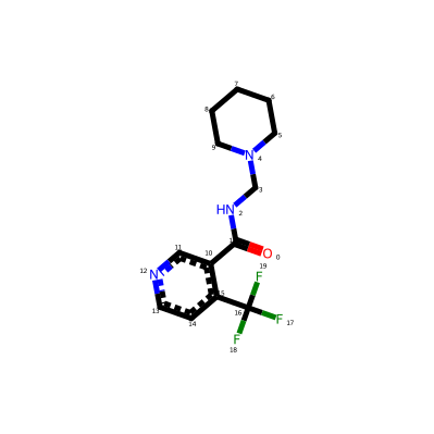 O=C(NCN1CCCCC1)c1cnccc1C(F)(F)F